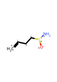 C=CCC[S+](N)[O-]